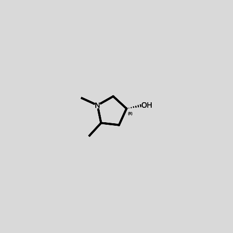 CC1C[C@@H](O)CN1C